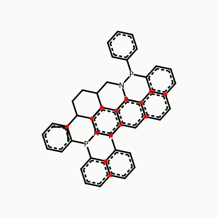 CC(C)C1CCC(CN(P(c2ccccc2)c2ccccc2)P(c2ccccc2)c2ccccc2)CC1N(P(c1ccccc1)c1ccccc1)P(c1ccccc1)c1ccccc1